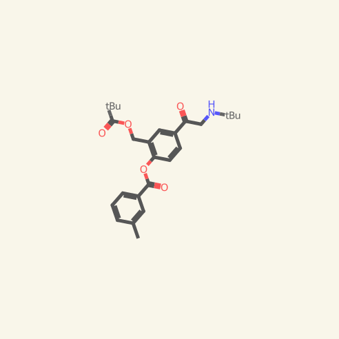 Cc1cccc(C(=O)Oc2ccc(C(=O)CNC(C)(C)C)cc2COC(=O)C(C)(C)C)c1